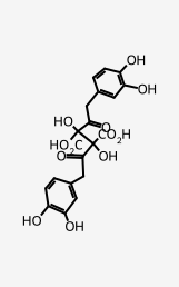 O=C(O)C(O)(C(=O)Cc1ccc(O)c(O)c1)C(O)(C(=O)O)C(=O)Cc1ccc(O)c(O)c1